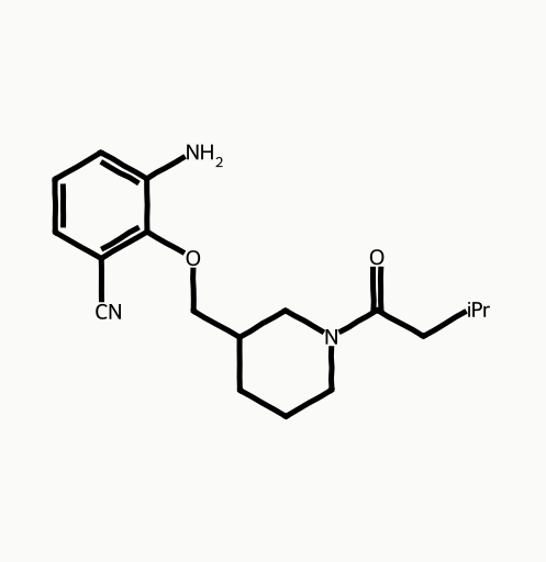 CC(C)CC(=O)N1CCCC(COc2c(N)cccc2C#N)C1